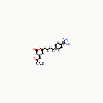 COC(=O)CC1CC(=O)OC(CCCCc2ccc(C(=N)N)cc2)C1